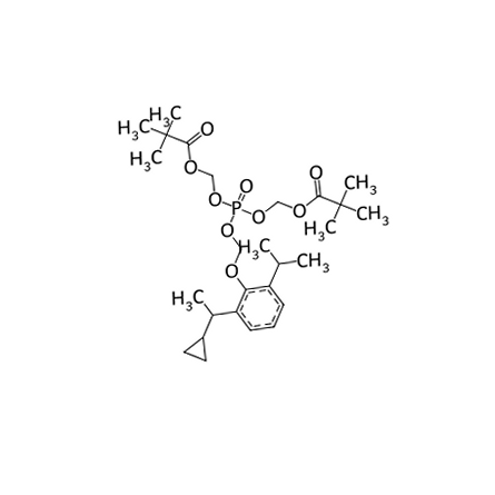 CC(C)c1cccc(C(C)C2CC2)c1OCOP(=O)(OCOC(=O)C(C)(C)C)OCOC(=O)C(C)(C)C